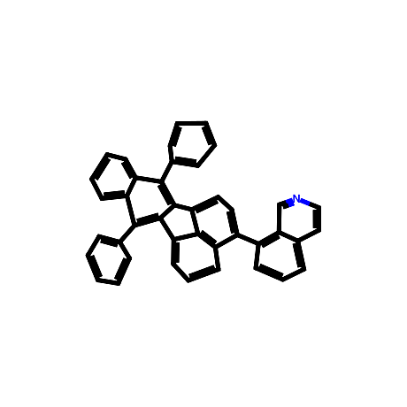 c1ccc(-c2c3c(c(-c4ccccc4)c4ccccc24)-c2ccc(-c4cccc5ccncc45)c4cccc-3c24)cc1